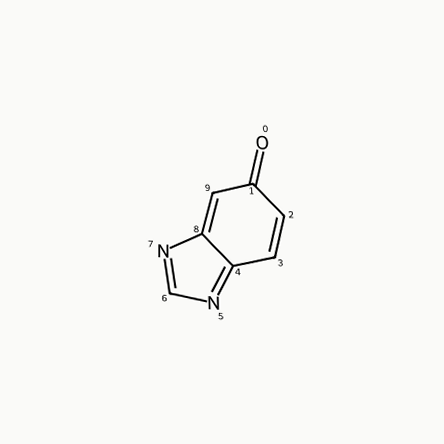 O=C1C=CC2=NC=NC2=C1